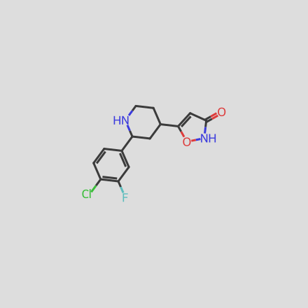 O=c1cc(C2CCNC(c3ccc(Cl)c(F)c3)C2)o[nH]1